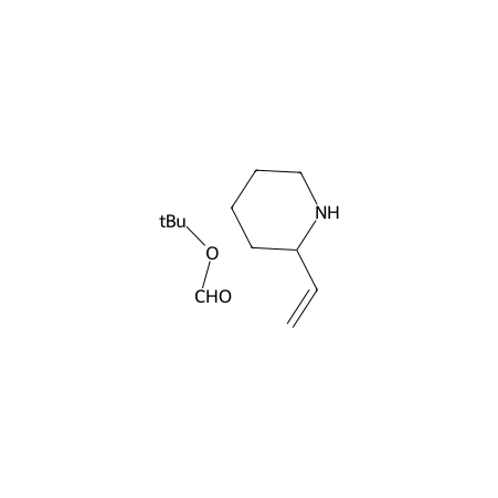 C=CC1CCCCN1.CC(C)(C)OC=O